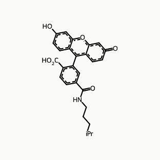 CC(C)CCCNC(=O)c1ccc(C(=O)O)c(-c2c3ccc(=O)cc-3oc3cc(O)ccc23)c1